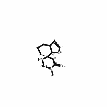 CN1NN[C@]2(CCCC3C=CSC32)CC1=O